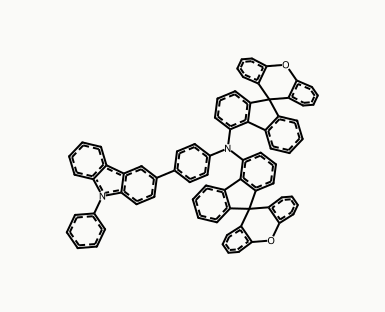 c1ccc(-n2c3ccccc3c3cc(-c4ccc(N(c5cccc6c5-c5ccccc5C65c6ccccc6Oc6ccccc65)c5cccc6c5-c5ccccc5C65c6ccccc6Oc6ccccc65)cc4)ccc32)cc1